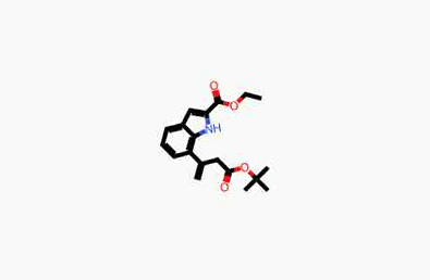 C=C(CC(=O)OC(C)(C)C)c1cccc2cc(C(=O)OCC)[nH]c12